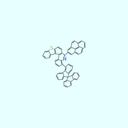 c1ccc2c(c1)-c1ccccc1C21c2ccccc2-c2c(-c3cccc4c3nc(-c3cc5ccc6cccc7ccc(c3)c5c67)c3ccc5sc6ccccc6c5c34)cccc21